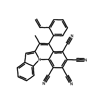 C=Cc1ccccc1-c1c(C)c2cc3ccccc3n2c2c(C#N)c(C#N)c(C#N)c(C#N)c12